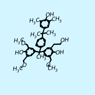 COCc1cc(C(C)(c2ccc(C(C)(C)c3cc(C)c(O)c(C)c3)cc2)c2cc(COC)c(O)c(COC)c2)cc(CCO)c1O